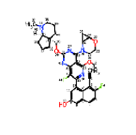 C#Cc1c(F)ccc2cc(O)cc(-c3nc(OC)c4c(N5CCOC6CC65)nc(OC[C@]56CCC[C@H]5N(C)CCC6)nc4c3F)c12